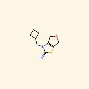 N=c1sc2c(n1CC1CCC1)COC2